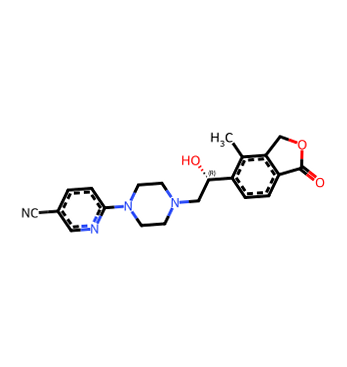 Cc1c([C@@H](O)CN2CCN(c3ccc(C#N)cn3)CC2)ccc2c1COC2=O